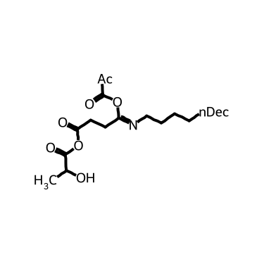 CCCCCCCCCCCCCCN=C(CCC(=O)OC(=O)C(C)O)OC(=O)C(C)=O